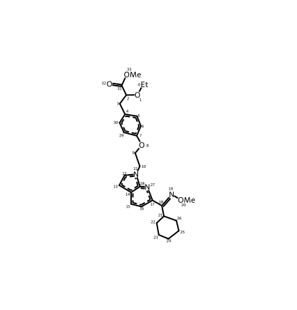 CCOC(Cc1ccc(OCCn2ccc3ccc(C(=NOC)C4CCCCC4)nc32)cc1)C(=O)OC